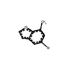 Cc1cc(Br)cc2ccoc12